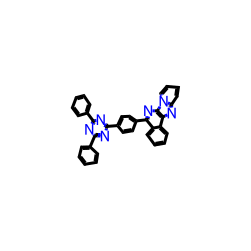 c1ccc(-c2nc(-c3ccccc3)nc(-c3ccc(-c4nc5c(nc6ccccn65)c5ccccc45)cc3)n2)cc1